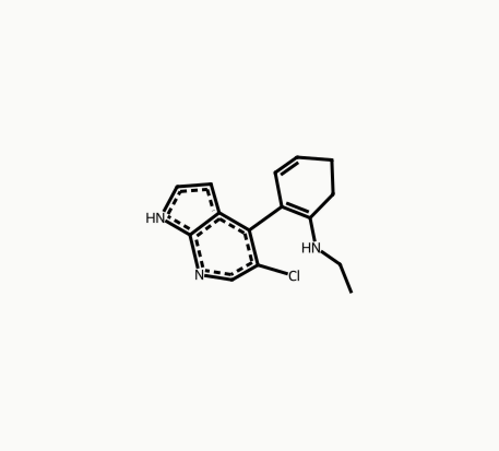 CCNC1=C(c2c(Cl)cnc3[nH]ccc23)C=CCC1